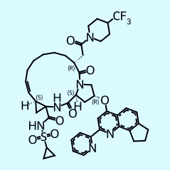 O=C1NC2(C(=O)NS(=O)(=O)C3CC3)C[C@H]2C=CCCCCC[C@H](CC(=O)N2CCC(C(F)(F)F)CC2)C(=O)N2C[C@H](Oc3cc(-c4ccccn4)nc4c5c(ccc34)CCC5)C[C@@H]12